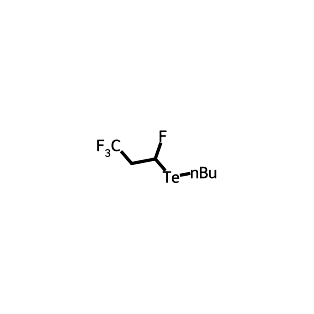 CCCC[Te]C(F)CC(F)(F)F